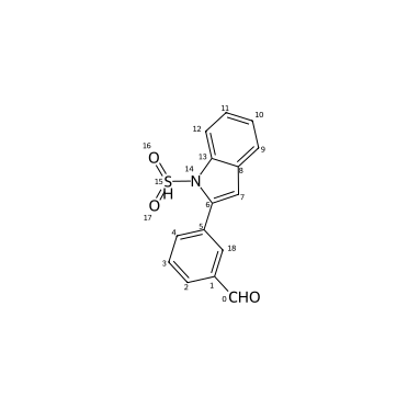 O=Cc1cccc(-c2cc3ccccc3n2[SH](=O)=O)c1